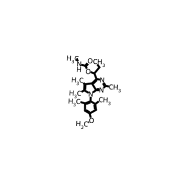 CCC(OC(=O)NC)c1nc(C)nc2c1c(C)c(C)n2-c1c(C)cc(OC)cc1C